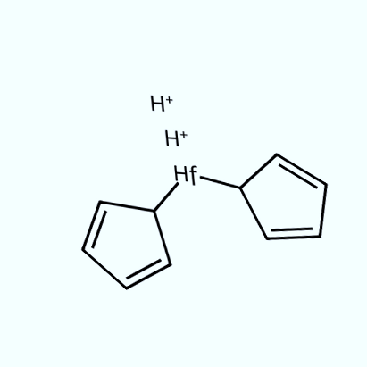 C1=C[CH]([Hf][CH]2C=CC=C2)C=C1.[H+].[H+]